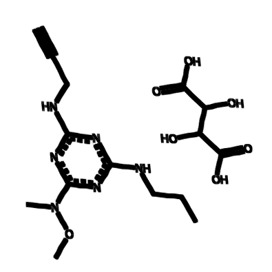 C#CCNc1nc(NCCC)nc(N(C)OC)n1.O=C(O)C(O)C(O)C(=O)O